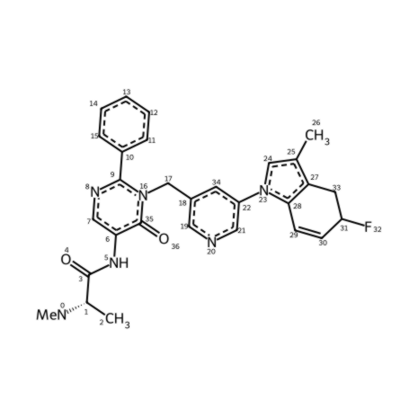 CN[C@@H](C)C(=O)Nc1cnc(-c2ccccc2)n(Cc2cncc(-n3cc(C)c4c3C=CC(F)C4)c2)c1=O